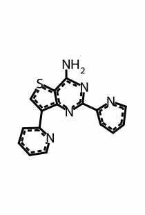 Nc1nc(-c2ccccn2)nc2c(-c3ccccn3)csc12